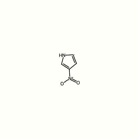 O=[N+]([O-])c1c[c][nH]c1